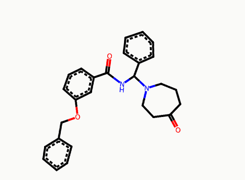 O=C1CCCN(C(NC(=O)c2cccc(OCc3ccccc3)c2)c2ccccc2)CC1